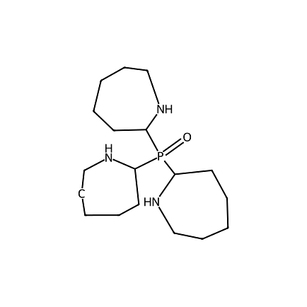 O=P(C1CCCCCN1)(C1CCCCCN1)C1CCCCCN1